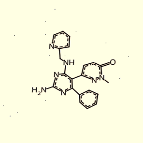 Cn1nc(-c2c(NCc3ccccn3)nc(N)nc2-c2ccccc2)ccc1=O